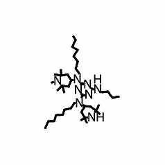 CCCCCCCCN(c1nc(NCCCC)nc(N(CCCCCCCC)C2CC(C)(C)N(C)C(C)(C)C2)n1)C1CC(C)(C)NC(C)(C)C1